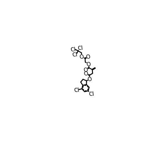 C=C(CC(=O)OC1CCc2c(Cl)cc(Cl)cc21)C(=O)OCC(=O)OCC(Cl)(Cl)Cl